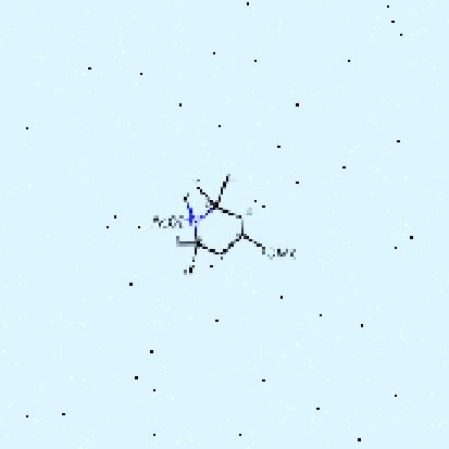 COC1CC(C)(C)[N+](C)(OC(C)=O)C(C)(C)C1